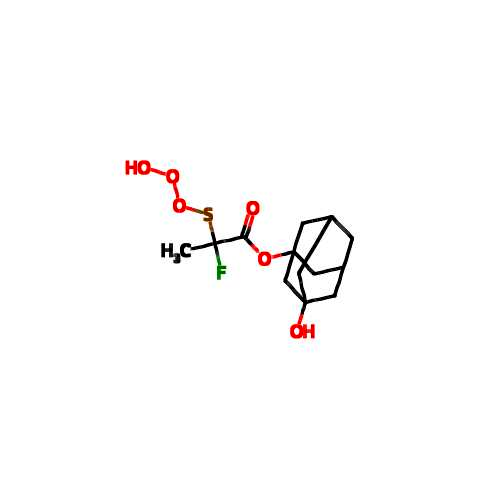 CC(F)(SOOO)C(=O)OC12CC3CC(CC(O)(C3)C1)C2